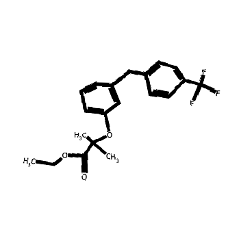 CCOC(=O)C(C)(C)Oc1cccc(Cc2ccc(C(F)(F)F)cc2)c1